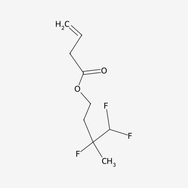 C=CCC(=O)OCCC(C)(F)C(F)F